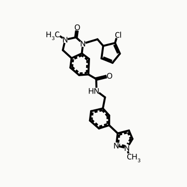 CN1Cc2ccc(C(=O)NCc3cccc(-c4ccn(C)n4)c3)cc2N(CC2C=CC=C2Cl)C1=O